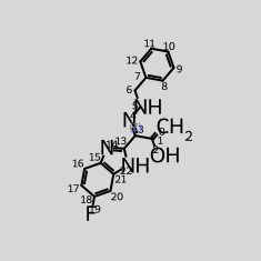 C=C(O)/C(=N\NCc1ccccc1)c1nc2ccc(F)cc2[nH]1